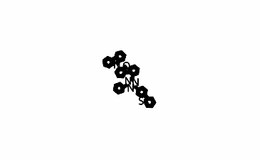 c1ccc(-c2nc(-c3ccc4c(c3)sc3ccccc34)nc(-c3cccc4oc5c(-n6c7ccccc7c7ccccc76)cccc5c34)n2)cc1